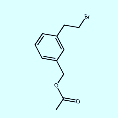 CC(=O)OCc1cccc(CCBr)c1